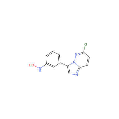 ONc1cccc(-c2cnc3ccc(Cl)nn23)c1